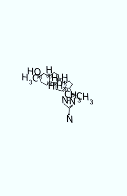 C[C@@H](C1CC[C@H]2[C@@H]3CC[C@@H]4C[C@](C)(O)CC[C@@H]4[C@H]3CC[C@]12C)n1cc(C#N)cn1